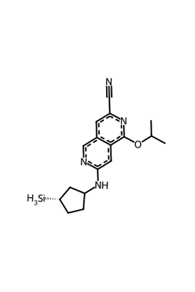 CC(C)Oc1nc(C#N)cc2cnc(NC3CC[C@H]([SiH3])C3)cc12